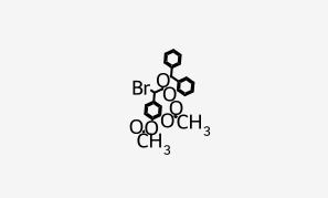 CC(=O)Oc1ccc(C(Br)C(=O)OC(c2ccccc2)c2ccccc2)cc1OC(C)=O